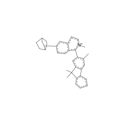 Cc1cc2c(cc1-c1c3ccc(C4CC5CCC4CC5)cc3cc[n+]1C)C(C)(C)c1ccccc1-2